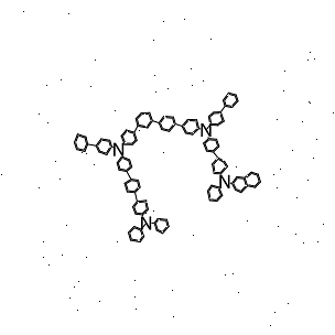 c1ccc(-c2ccc(N(c3ccc(-c4ccc(-c5cccc(-c6ccc(N(c7ccc(-c8ccccc8)cc7)c7ccc(-c8ccc(-c9ccc(N(c%10ccccc%10)c%10ccccc%10)cc9)cc8)cc7)cc6)c5)cc4)cc3)c3ccc(-c4ccc(N(c5ccccc5)c5ccc6ccccc6c5)cc4)cc3)cc2)cc1